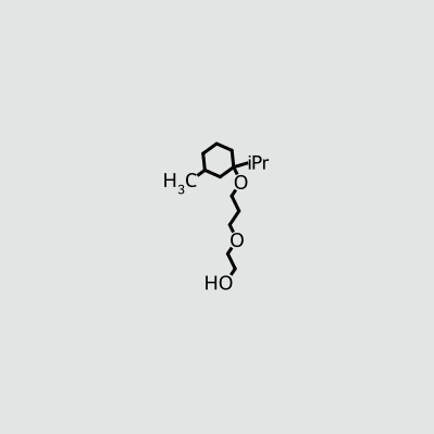 CC1CCCC(OCCCOCCO)(C(C)C)C1